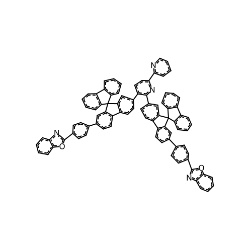 c1ccc(-c2ccc(-c3ccc4c(c3)C3(c5ccccc5-c5ccccc53)c3cc(-c5ccc(-c6nc7ccccc7o6)cc5)ccc3-4)c(-c3ccc4c(c3)C3(c5ccccc5-c5ccccc53)c3cc(-c5ccc(-c6nc7ccccc7o6)cc5)ccc3-4)n2)nc1